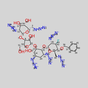 [N-]=[N+]=NC[C@@H]1O[C@H](O[C@H]2[C@@H](O)[C@H](O[C@@H]3[C@@H](O)[C@H](N=[N+]=[N-])C[C@H](N=[N+]=[N-])[C@H]3O[C@H]3O[C@H](CN=[N+]=[N-])[C@@H](OCc4ccccc4)[C@H](F)[C@H]3N=[N+]=[N-])O[C@@H]2CO)[C@H](N=[N+]=[N-])[C@@H](O)[C@@H]1O